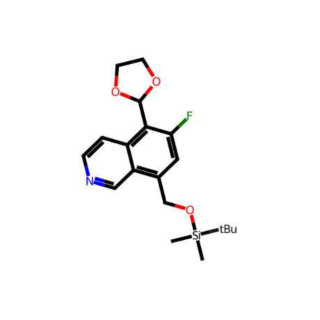 CC(C)(C)[Si](C)(C)OCc1cc(F)c(C2OCCO2)c2ccncc12